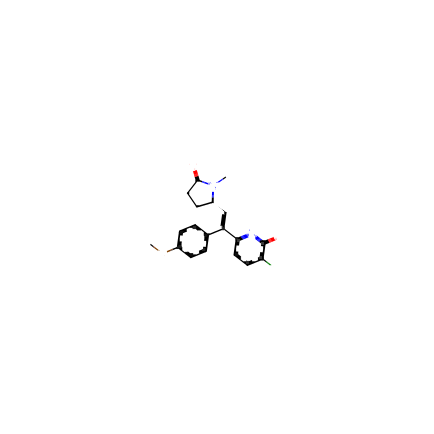 CSc1ccc(/C(=C\[C@H]2CCC(=O)N2C)c2ccc(Cl)c(=O)[nH]2)cc1